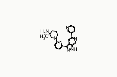 C[C@]1(N)CCCN(c2cccc(-c3n[nH]c4cnc(-c5cccnc5)cc34)n2)C1